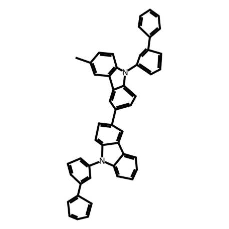 Cc1ccc2c(c1)c1cc(-c3ccc4c(c3)c3ccccc3n4-c3cccc(-c4ccccc4)c3)ccc1n2-c1cccc(-c2ccccc2)c1